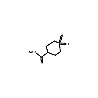 COC(=O)C1CCS(=O)(=O)CC1